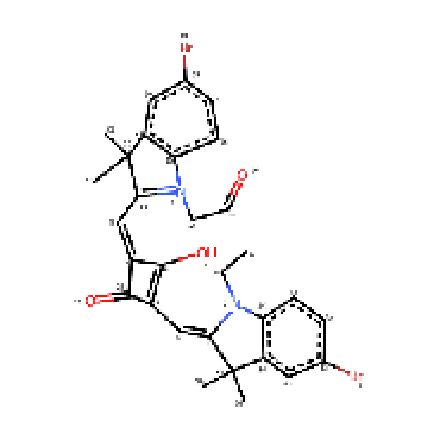 CCN1C(=CC2=C(O)C(=CC3=[N+](CC=O)c4ccc(Br)cc4C3(C)C)C2=O)C(C)(C)c2cc(Br)ccc21